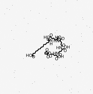 O=C(O)CCCCCCCCCCCCC(=O)NC(CCC(=O)NC(CCC(=O)NC(CCC(=O)NC(CCC(=O)ON1C(=O)CCC1=O)C(=O)O)C(=O)O)C(=O)O)C(=O)O